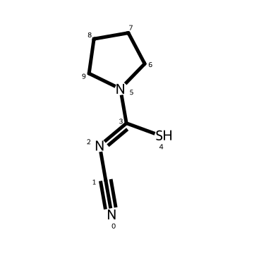 N#CN=C(S)N1CCCC1